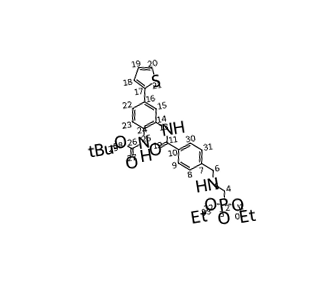 CCOP(=O)(CNCc1ccc(C(=O)Nc2cc(-c3cccs3)ccc2NC(=O)OC(C)(C)C)cc1)OCC